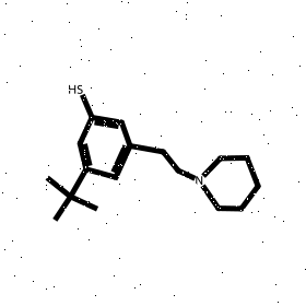 CC(C)(C)c1cc(S)cc(CCN2CCCCC2)c1